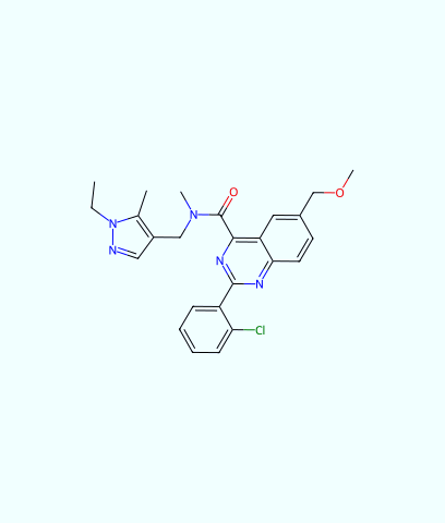 CCn1ncc(CN(C)C(=O)c2nc(-c3ccccc3Cl)nc3ccc(COC)cc23)c1C